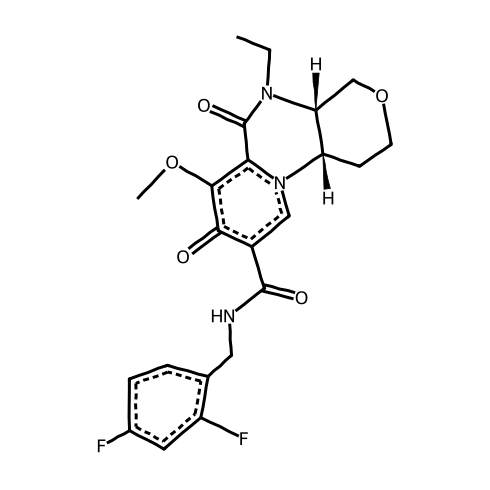 CCN1C(=O)c2c(OC)c(=O)c(C(=O)NCc3ccc(F)cc3F)cn2[C@H]2CCOC[C@H]21